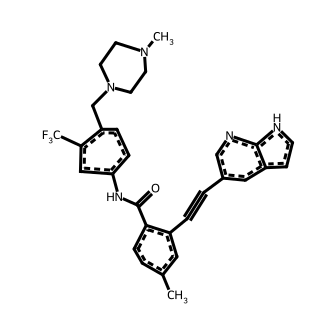 Cc1ccc(C(=O)Nc2ccc(CN3CCN(C)CC3)c(C(F)(F)F)c2)c(C#Cc2cnc3[nH]ccc3c2)c1